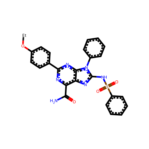 CCOc1ccc(-c2nc(C(N)=O)c3nc(NS(=O)(=O)c4ccccc4)n(-c4ccccc4)c3n2)cc1